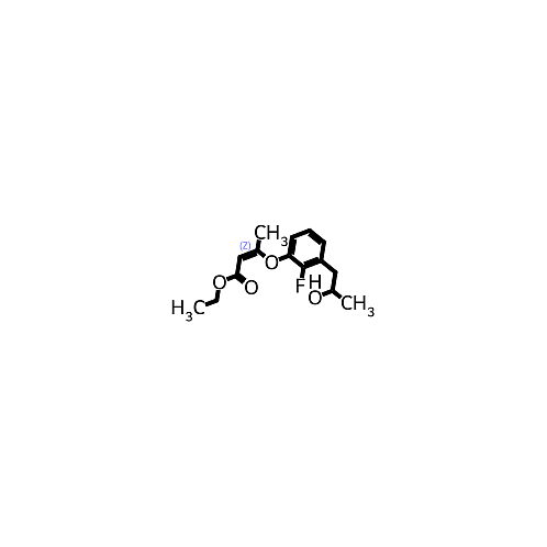 CCOC(=O)/C=C(/C)Oc1cccc(CC(C)O)c1F